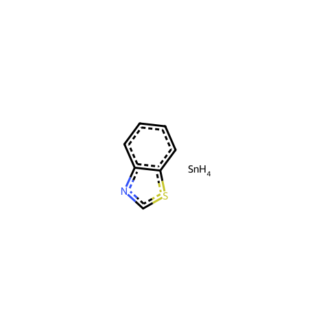 [SnH4].c1ccc2scnc2c1